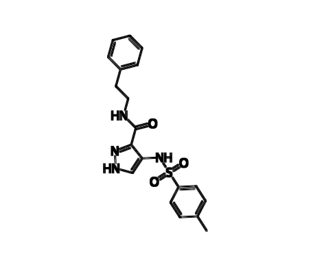 Cc1ccc(S(=O)(=O)Nc2c[nH]nc2C(=O)NCCc2ccccc2)cc1